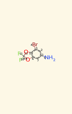 Nc1cc(Br)c2c(c1)OC(F)(F)O2